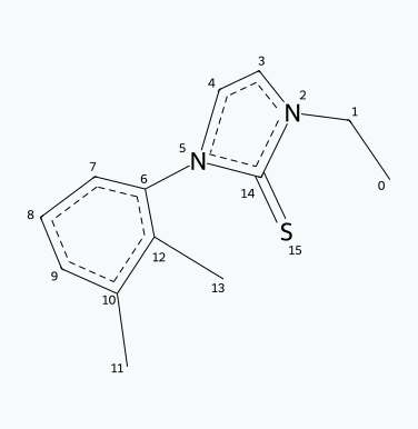 CCn1ccn(-c2cccc(C)c2C)c1=S